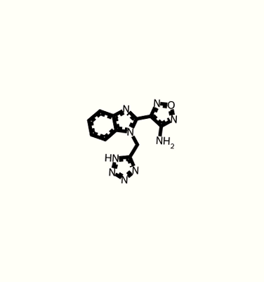 Nc1nonc1-c1nc2ccccc2n1Cc1nnn[nH]1